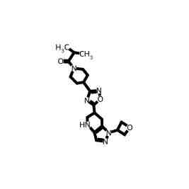 CC(C)C(=O)N1CCC(c2noc(C3CNc4cnn(C5COC5)c4C3)n2)CC1